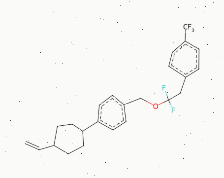 C=CC1CCC(c2ccc(COC(F)(F)Cc3ccc(C(F)(F)F)cc3)cc2)CC1